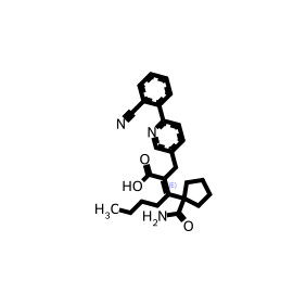 CCCC/C(=C(/Cc1ccc(-c2ccccc2C#N)nc1)C(=O)O)C1(C(N)=O)CCCC1